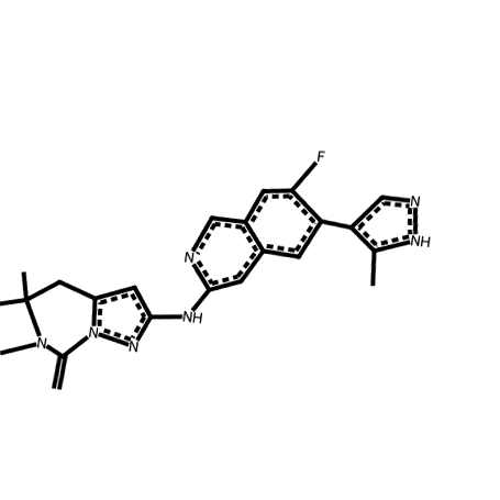 C=C1N(C)C(C)(C)Cc2cc(Nc3cc4cc(-c5cn[nH]c5C)c(F)cc4cn3)nn21